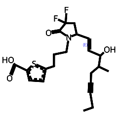 CCC#CCC(C)C(O)/C=C/C1CC(F)(F)C(=O)N1CCCc1ccc(C(=O)O)s1